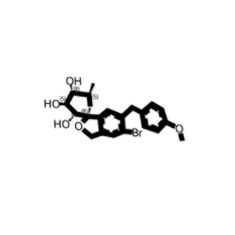 COc1ccc(Cc2cc3c(cc2Br)CO[C@]32C[C@H](C)[C@@H](O)[C@H](O)[C@H]2O)cc1